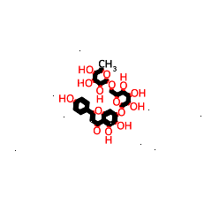 CC1OC(OCC2OC(Oc3cc4oc(-c5ccc(O)cc5)cc(=O)c4c(O)c3O)C(O)C(O)C2O)C(O)C(O)C1O